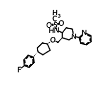 CS(=O)(=O)NC1CCN(c2ccccn2)C[C@H]1CO[C@H]1CC[C@@H](c2ccc(F)cc2)CC1